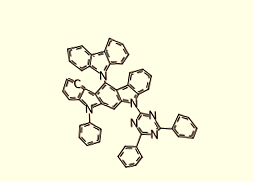 c1ccc(-c2nc(-c3ccccc3)nc(-n3c4ccccc4c4c(-n5c6ccccc6c6ccccc65)c5c6ccccc6n(-c6ccccc6)c5cc43)n2)cc1